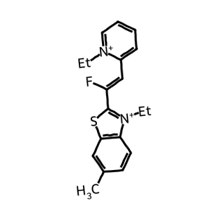 CC[n+]1ccccc1C=C(F)c1sc2cc(C)ccc2[n+]1CC